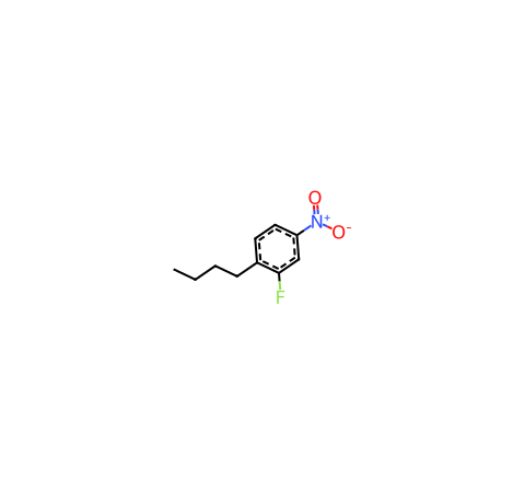 CCCCc1ccc([N+](=O)[O-])cc1F